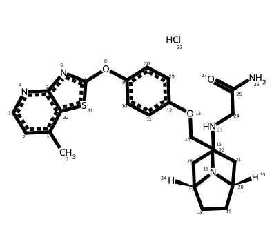 Cc1ccnc2nc(Oc3ccc(OCCN4[C@@H]5CC[C@H]4CC(NCC(N)=O)C5)cc3)sc12.Cl